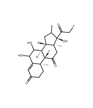 CC1C[C@H]2[C@@H]3C(O)C(O)C4=CC(=O)CC[C@]4(C)[C@@]3(F)C(=O)C[C@]2(C)[C@@]1(O)C(=O)CF